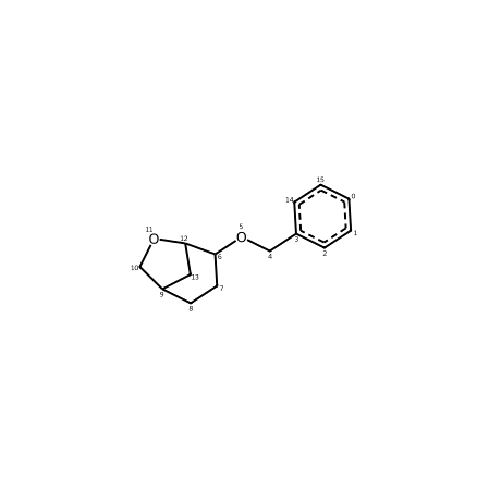 c1ccc(COC2CCC3COC2C3)cc1